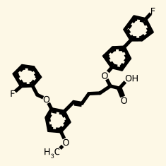 COc1ccc(OCc2ccccc2F)c(/C=C/CCC(Oc2ccc(-c3ccc(F)cc3)cc2)C(=O)O)c1